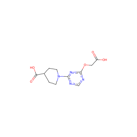 O=C(O)COc1ncnc(N2CCC(C(=O)O)CC2)n1